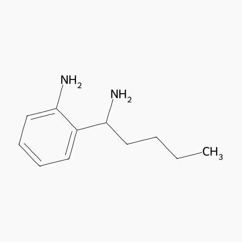 CCCCC(N)c1ccccc1N